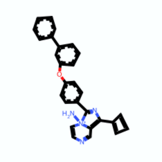 N[N+]12C=CN=CC1=C(C1=CC=C1)N=C2c1ccc(Oc2cccc(-c3ccccc3)c2)cc1